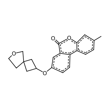 Cc1ccc2c(c1)oc(=O)c1cc(OC3CC4(CCOC4)C3)ccc12